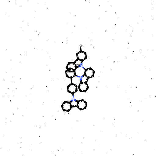 N#Cc1ccc2c(c1)c1ccccc1n2-c1cccc2c3ccccc3n(-c3c(C#N)cccc3-c3ccc(-n4c5ccccc5c5ccccc54)cc3)c12